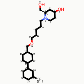 OC[C@H]1CC(O)CCN1CCCCCOCC1CCC(C2CCCC(C(F)(F)F)C2)CC1